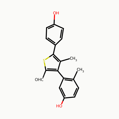 Cc1ccc(O)cc1-c1c(C=O)sc(-c2ccc(O)cc2)c1C